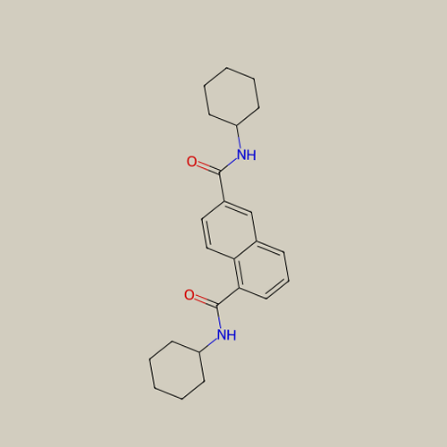 O=C(NC1CCCCC1)c1ccc2c(C(=O)NC3CCCCC3)cccc2c1